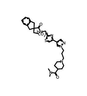 CN(C)C(=O)C1CCN(CCCn2cc(-c3csc(CNC(=O)C4(CC(=O)O)Cc5ccccc5C4)n3)cn2)CC1